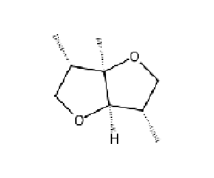 C[C@H]1CO[C@@]2(C)[C@@H]1OC[C@@H]2C